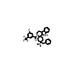 CN(C)C1(Cc2ccccc2)CCC2(CC1)c1[nH]c3ccccc3c1CCN2C(=O)c1cc(F)cc(C(F)(F)F)c1